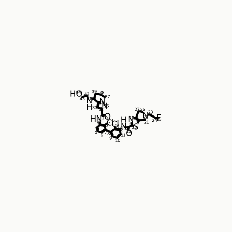 O=C(Nc1cccc(-c2cccc(NC(=O)c3nc4c(s3)CN(CCF)CC4)c2Cl)c1Cl)c1cc2n(n1)CCCC2NCCO